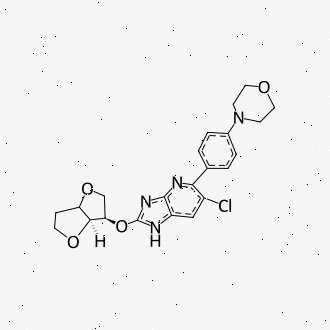 Clc1cc2[nH]c(O[C@@H]3COC4CCO[C@@H]43)nc2nc1-c1ccc(N2CCOCC2)cc1